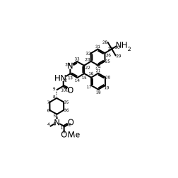 COC(=O)N(C)[C@H]1CC[C@H](CC(=O)Nc2cc(-c3ccccc3)c(-c3ccc(C(C)(C)N)cc3)cn2)CC1